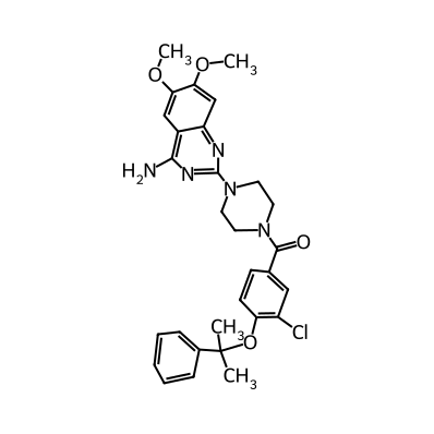 COc1cc2nc(N3CCN(C(=O)c4ccc(OC(C)(C)c5ccccc5)c(Cl)c4)CC3)nc(N)c2cc1OC